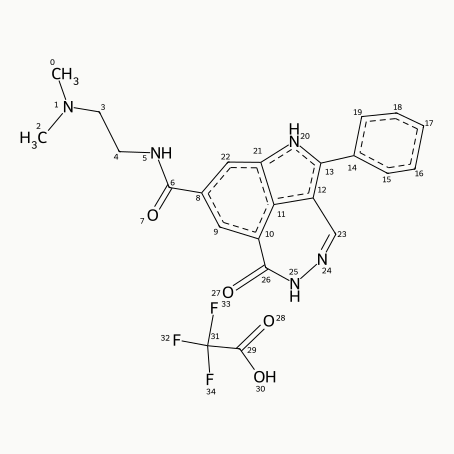 CN(C)CCNC(=O)c1cc2c3c(c(-c4ccccc4)[nH]c3c1)C=NNC2=O.O=C(O)C(F)(F)F